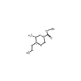 CC1CN(C(=O)OC(C)(C)C)CCN1CCO